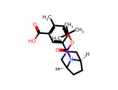 Cc1ccc(N2C[C@H]3CC[C@@H](C2)N3C(=O)OC(C)(C)C)cc1C(=O)O